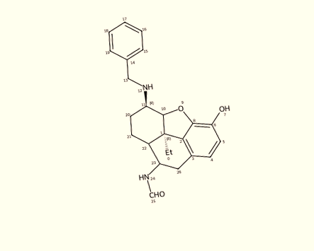 CC[C@@]12c3c4ccc(O)c3OC1[C@H](NCc1ccccc1)CCC2C(NC=O)C4